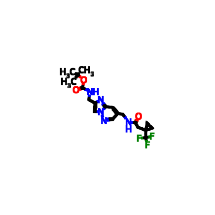 CC(C)(C)OC(=O)NCc1cn2ncc(CNC(=O)CC3(C(F)(F)F)CC3)cc2n1